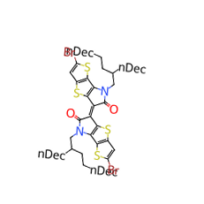 CCCCCCCCCCCCC(CCCCCCCCCC)CN1C(=O)/C(=C2/C(=O)N(CC(CCCCCCCCCC)CCCCCCCCCCCC)c3c2sc2cc(Br)sc32)c2sc3cc(Br)sc3c21